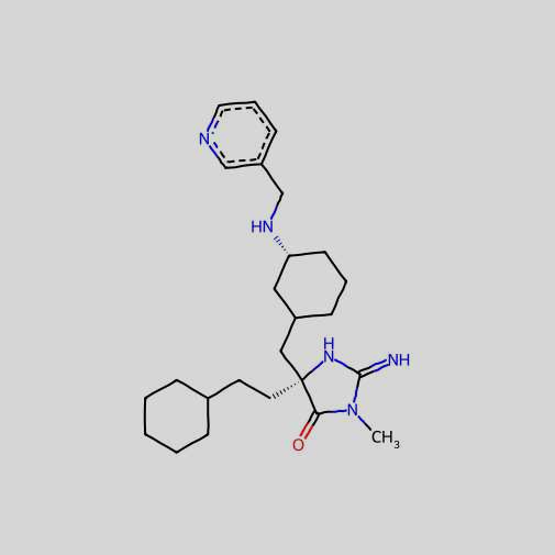 CN1C(=N)N[C@](CCC2CCCCC2)(CC2CCC[C@@H](NCc3cccnc3)C2)C1=O